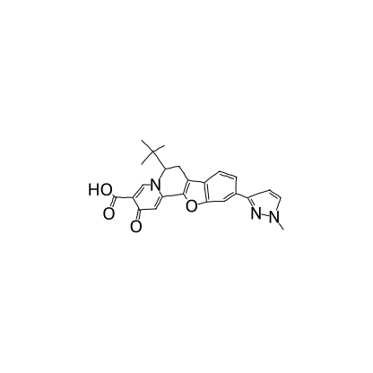 Cn1ccc(-c2ccc3c4c(oc3c2)-c2cc(=O)c(C(=O)O)cn2C(C(C)(C)C)C4)n1